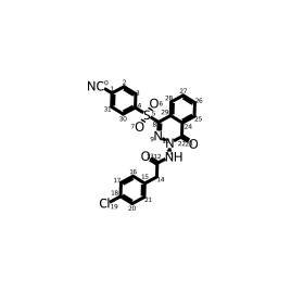 N#Cc1ccc(S(=O)(=O)c2nn(NC(=O)Cc3ccc(Cl)cc3)c(=O)c3ccccc23)cc1